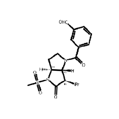 CC(C)[C@H]1C(=O)N(S(C)(=O)=O)[C@H]2CCN(C(=O)c3cccc(C=O)c3)[C@H]12